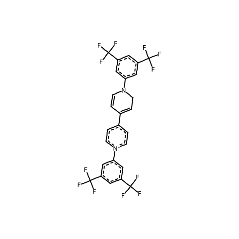 FC(F)(F)c1cc(N2C=CC(c3cc[n+](-c4cc(C(F)(F)F)cc(C(F)(F)F)c4)cc3)=CC2)cc(C(F)(F)F)c1